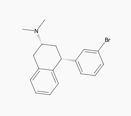 CN(C)[C@H]1Cc2ccccc2[C@@H](c2cccc(Br)c2)C1